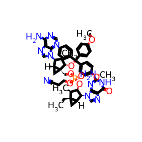 CC[C@]12C[C@@H]1[C@@H](n1cnc3c(=O)[nH]c(N)nc31)[C@H](OP(=O)(OCCC#N)OC[C@]13C[C@@H]1[C@@H](n1cnc4c(N)ncnc41)[C@H](C)[C@@H]3OC(c1ccccc1)(c1ccc(OC)cc1)c1ccc(OC)cc1)[C@@H]2C